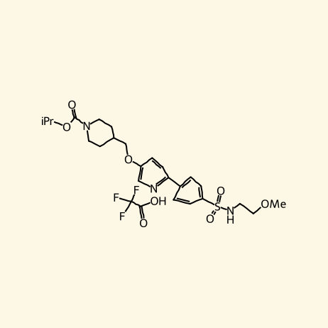 COCCNS(=O)(=O)c1ccc(-c2ccc(OCC3CCN(C(=O)OC(C)C)CC3)cn2)cc1.O=C(O)C(F)(F)F